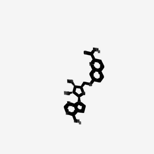 NC(=O)c1ccc2ccc(OC[C@H]3O[C@@H](n4ccc5c(N)ncnc54)[C@H](O)[C@@H]3O)cc2n1